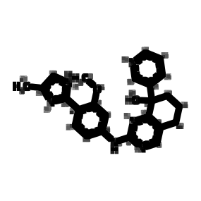 COc1cc(Nc2ncc3c(n2)C(O)(c2cccnc2)CCC3)ccc1-c1nc(C)c[nH]1